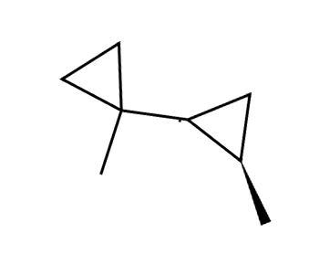 C[C@@H]1C[C]1C1(C)CC1